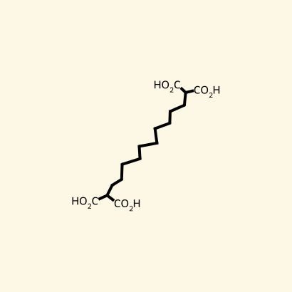 O=C(O)C(CCCCCCCCCCC(C(=O)O)C(=O)O)C(=O)O